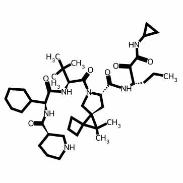 CCC[C@H](NC(=O)[C@@H]1C[C@@]2(CN1C(=O)[C@@H](NC(=O)[C@@H](NC(=O)[C@@H]1CCCNC1)C1CCCCC1)C(C)(C)C)C(C)(C)C21CCC1)C(=O)C(=O)NC1CC1